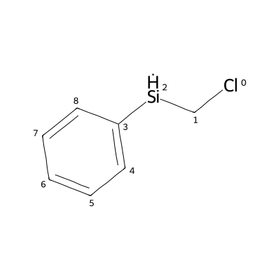 ClC[SiH]c1ccccc1